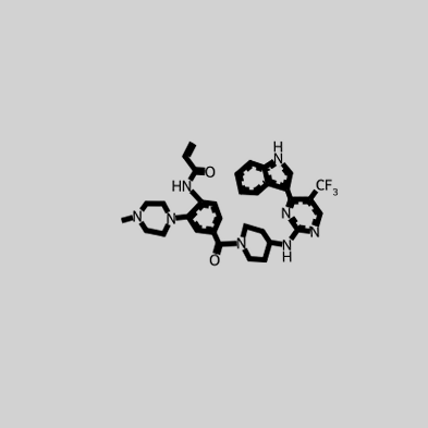 C=CC(=O)Nc1ccc(C(=O)N2CCC(Nc3ncc(C(F)(F)F)c(-c4c[nH]c5ccccc45)n3)CC2)cc1N1CCN(C)CC1